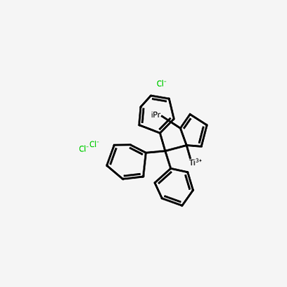 CC(C)C1=CC=C[C]1([Ti+3])C(c1ccccc1)(c1ccccc1)c1ccccc1.[Cl-].[Cl-].[Cl-]